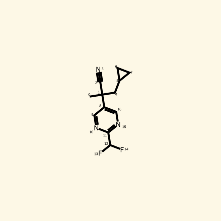 CC(C#N)(CC1CC1)c1cnc(C(F)F)nc1